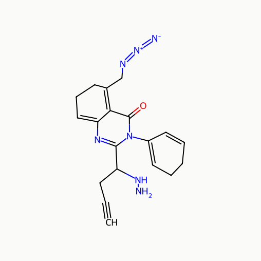 C#CCC(NN)c1nc2c(c(=O)n1C1=CCCC=C1)=C(CN=[N+]=[N-])CCC=2